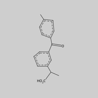 Cc1ccc(C(=O)c2cccc(C(C)C(=O)O)c2)cc1